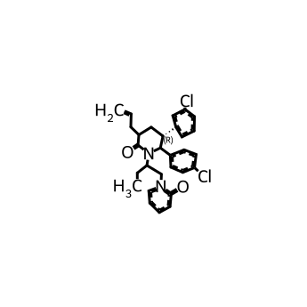 C=CCC1C[C@H](c2cccc(Cl)c2)C(c2ccc(Cl)cc2)N(C(CC)Cn2ccccc2=O)C1=O